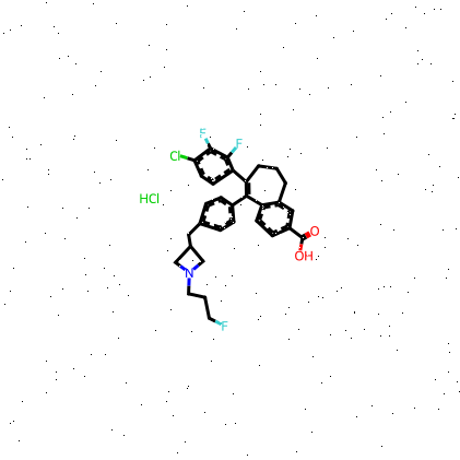 Cl.O=C(O)c1ccc2c(c1)CCCC(c1ccc(Cl)c(F)c1F)=C2c1ccc(CC2CN(CCCF)C2)cc1